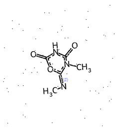 C/N=c1\oc(=O)[nH]c(=O)n1C